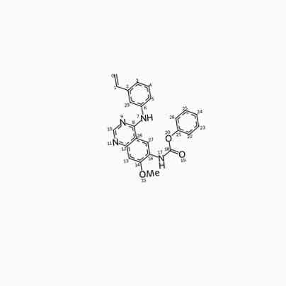 C=Cc1cccc(Nc2ncnc3cc(OC)c(NC(=O)Oc4ccccc4)cc23)c1